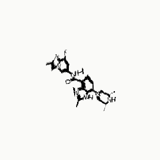 Cc1cn2cc(NC(=O)c3ccc(N4C[C@@H](C)N[C@@H](C)C4)c4[nH]c(C)nc34)cc(F)c2n1